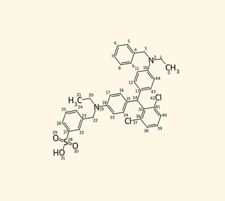 CCN(Cc1ccccc1)c1ccc(C(c2ccc(N(CC)Cc3cccc(S(=O)(=O)O)c3)cc2)c2c(Cl)cccc2Cl)cc1